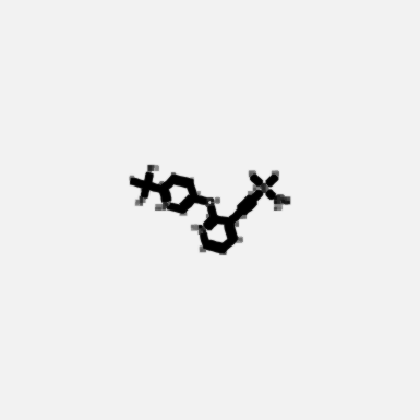 CC(F)(F)c1ccc(Oc2ncccc2C#C[Si](C)(C)C(C)(C)C)cn1